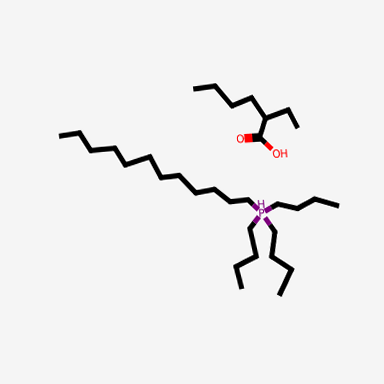 CCCCC(CC)C(=O)O.CCCCCCCCCCCC[PH](CCCC)(CCCC)CCCC